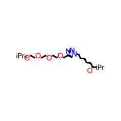 CC(C)OCCOCCOCCOCc1cn(CCCCCC(=O)C(C)C)nn1